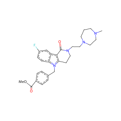 COC(=O)c1ccc(Cn2c3c(c4cc(F)ccc42)C(=O)N(CCN2CCCN(C)CC2)CC3)cc1